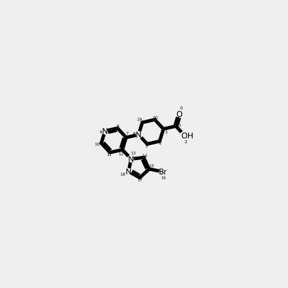 O=C(O)C1CCN(c2cnccc2-n2cc(Br)cn2)CC1